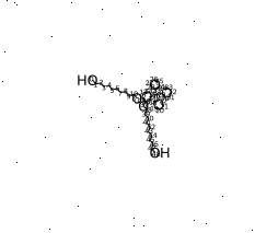 OCCCCCCCCCCOc1ccc(C(c2ccccc2)(c2ccccc2)c2ccccc2)cc1OCCCCCCCCCCO